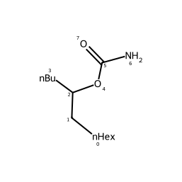 CCCCCCCC(CCCC)OC(N)=O